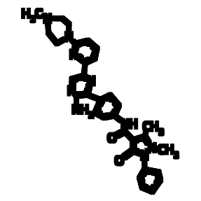 Cc1c(C(=O)Nc2ccc(-c3nc(-c4cccc(N5CCN(C)CC5)n4)cnc3N)cc2)c(=O)n(-c2ccccc2)n1C